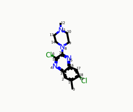 Cc1cc2nc(Cl)c(N3CCN(C)CC3)nc2cc1Cl